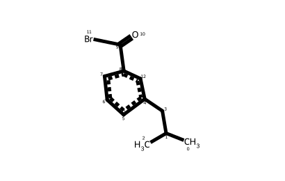 CC(C)Cc1cccc(C(=O)Br)c1